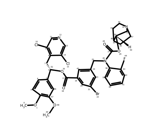 COc1ccc([C@H](Cc2c(Cl)cncc2Cl)OC(=O)c2cc(Br)cc(CN(C(=O)O[C@H]3CN4CCC3CC4)c3ccccc3F)c2)cc1OC